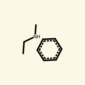 CCNC.c1ccccc1